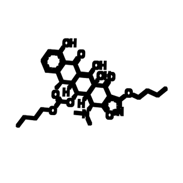 CCCCOC(=O)O[C@H]1[C@H]2C(=C(O)[C@]3(O)C(=O)c4c(OCCCC)noc4[C@@H](N(C)C)[C@H]13)C(=O)c1c(O)cccc1[C@@H]2C